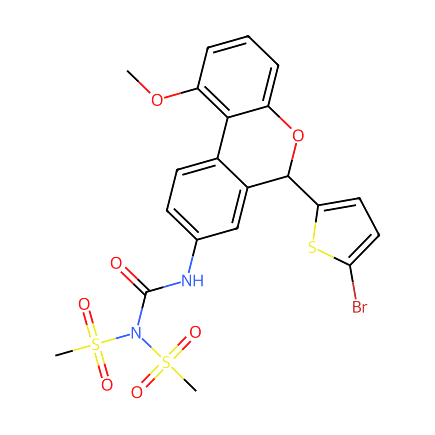 COc1cccc2c1-c1ccc(NC(=O)N(S(C)(=O)=O)S(C)(=O)=O)cc1C(c1ccc(Br)s1)O2